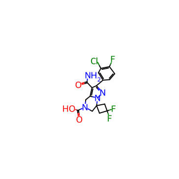 NC(=O)c1c(-c2ccc(F)c(Cl)c2)nn2c1CN(C(=O)O)CC21CC(F)(F)C1